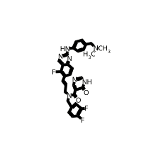 CN(C)Cc1ccc(Nc2ncc3c(F)c(/C=C/CN(Cc4ccc(F)c(F)c4)C(=O)c4cnc[nH]c4=O)ccc3n2)cc1